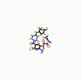 CN1CC(C(=O)C(=O)N(C)C2CC2)c2cc(C(=O)N3CCC(Cc4ccc(F)cc4)CC3)c(Cl)cc21